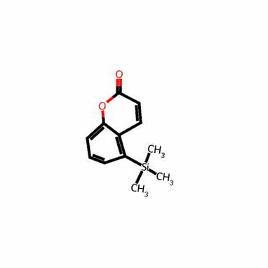 C[Si](C)(C)c1cccc2oc(=O)ccc12